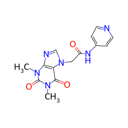 Cn1c(=O)c2c(ncn2CC(=O)Nc2ccncc2)n(C)c1=O